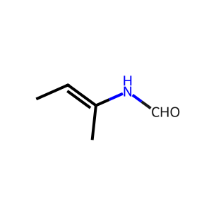 C/C=C(\C)NC=O